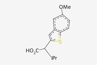 COc1ccc2sc(C(C(=O)O)C(C)C)cc2c1